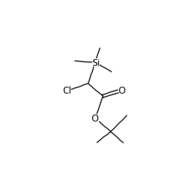 CC(C)(C)OC(=O)C(Cl)[Si](C)(C)C